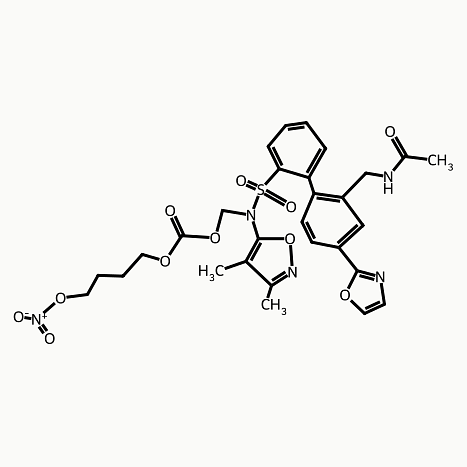 CC(=O)NCc1cc(-c2ncco2)ccc1-c1ccccc1S(=O)(=O)N(COC(=O)OCCCCO[N+](=O)[O-])c1onc(C)c1C